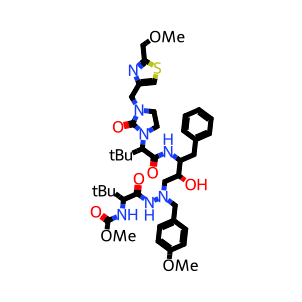 COCc1nc(CN2CCN(C(C(=O)NC(Cc3ccccc3)C(O)CN(Cc3ccc(OC)cc3)NC(=O)C(NC(=O)OC)C(C)(C)C)C(C)(C)C)C2=O)cs1